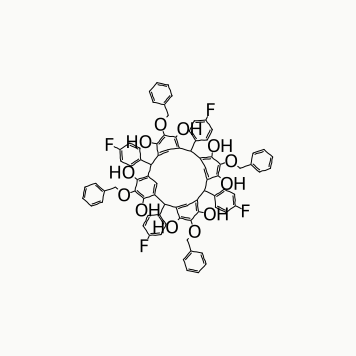 Oc1c2cc(c(O)c1OCc1ccccc1)C(c1ccc(F)cc1)c1cc(c(O)c(OCc3ccccc3)c1O)C(c1ccc(F)cc1)c1cc(c(O)c(OCc3ccccc3)c1O)C(c1ccc(F)cc1)c1cc(c(O)c(OCc3ccccc3)c1O)C2c1ccc(F)cc1